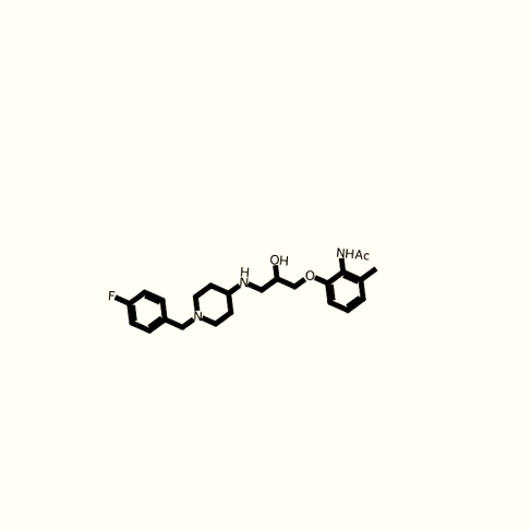 CC(=O)Nc1c(C)cccc1OCC(O)CNC1CCN(Cc2ccc(F)cc2)CC1